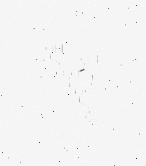 CCCC(=O)O.COCCOCCOCCO